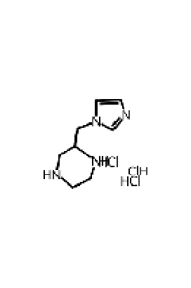 Cl.Cl.Cl.c1cn(CC2CNCCN2)cn1